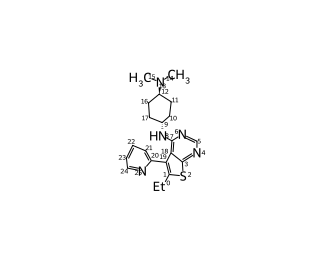 CCc1sc2ncnc(N[C@H]3CC[C@H](N(C)C)CC3)c2c1-c1ccccn1